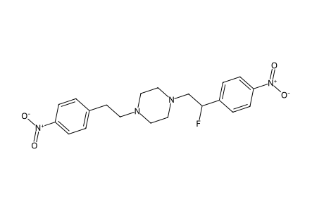 O=[N+]([O-])c1ccc(CCN2CCN(CC(F)c3ccc([N+](=O)[O-])cc3)CC2)cc1